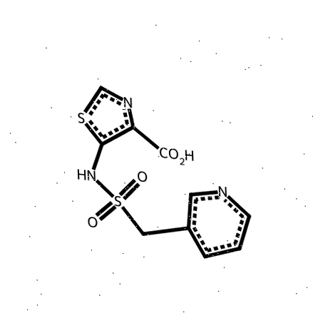 O=C(O)c1ncsc1NS(=O)(=O)Cc1cccnc1